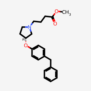 COC(=O)CCCN1CC[C@@H](Oc2ccc(Cc3ccccc3)cc2)C1